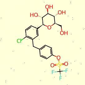 O=S(=O)(Oc1ccc(Cc2cc([C@@H]3O[C@H](CO)[C@@H](O)[C@H](O)[C@H]3O)ccc2Cl)cc1)C(F)(F)F